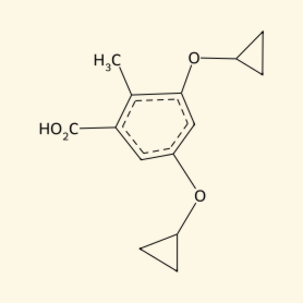 Cc1c(OC2CC2)cc(OC2CC2)cc1C(=O)O